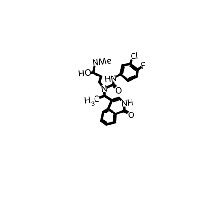 CNC(O)CCN(C(=O)Nc1ccc(F)c(Cl)c1)C(C)c1c[nH]c(=O)c2ccccc12